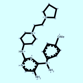 COc1ccc(N(N)c2nc(NC3CCN(CCN4CCCC4)CC3)ncc2N)cc1